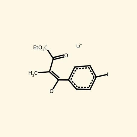 CCOC(=O)C(=O)C(C)=C([O-])c1ccc(I)cc1.[Li+]